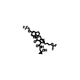 O=C1N[C@@]2(CCc3cc(OCC(F)(F)F)ccc32)Cc2nn(CCCOC(F)F)c(C(=O)NCC3(O)CC3)c21